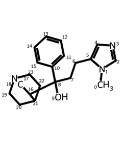 Cn1cncc1CCC(O)(c1ccccc1)C1CN2CCC1CC2